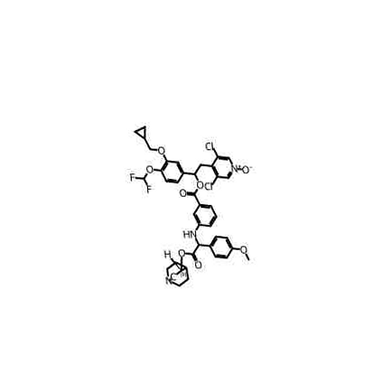 COc1ccc(C(Nc2cccc(C(=O)OC(Cc3c(Cl)c[n+]([O-])cc3Cl)c3ccc(OC(F)F)c(OCC4CC4)c3)c2)C(=O)O[C@H]2CN3CCC2CC3)cc1